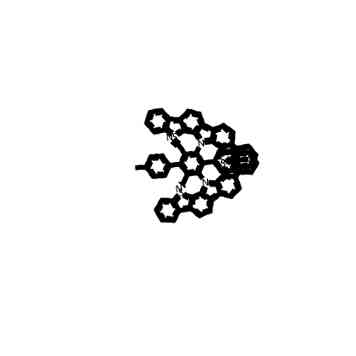 Cc1ccc(-c2c(C#N)c(-n3c4c(ccc5c6ccccc6sc54)c4ccc5c6ccccc6sc5c43)c(-c3ccc(C)cc3)c(-n3c4c(ccc5c6ccccc6sc54)c4ccc5c6ccccc6sc5c43)c2C#N)cc1